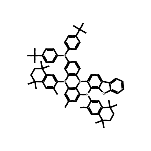 Cc1cc2c3c(c1)N(c1cc4c(cc1C)C(C)(C)CCC4(C)C)c1c(ccc4c1oc1ccccc14)B3c1ccc(N(c3ccc(C(C)(C)C)cc3)c3ccc(C(C)(C)C)cc3)cc1N2c1cc2c(cc1C)C(C)(C)CCC2(C)C